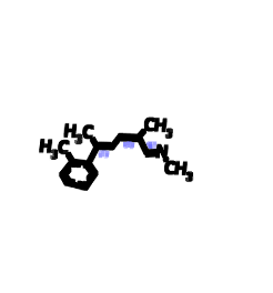 C/N=C/C(C)=C\C=C(/C)c1ccccc1C